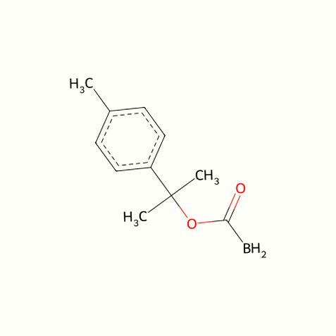 BC(=O)OC(C)(C)c1ccc(C)cc1